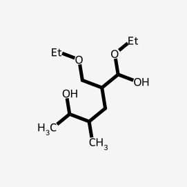 CCOCC(CC(C)C(C)O)C(O)OCC